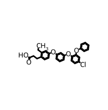 CCc1cc(Oc2cccc(Oc3ccc(Cl)cc3Oc3ccccc3)c2)ccc1CCC(=O)O